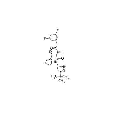 CC(C)(C)C1=NNC(NC(=O)C(NC(=O)Cc2cc(F)cc(F)c2)C(=O)N2CCCC2)C1